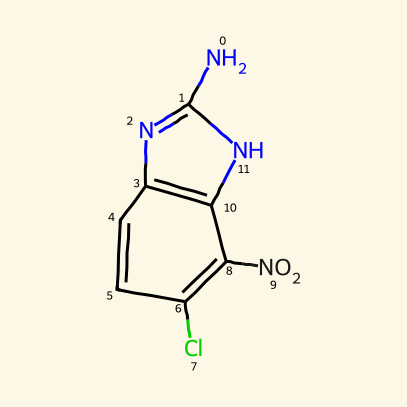 Nc1nc2ccc(Cl)c([N+](=O)[O-])c2[nH]1